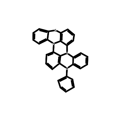 c1ccc(N2c3ccccc3B3c4cccc5c4N(c4ccccc4S5)c4cccc2c43)cc1